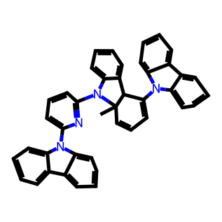 CC12C=CC=C(n3c4ccccc4c4ccccc43)C1c1ccccc1N2c1cccc(-n2c3ccccc3c3ccccc32)n1